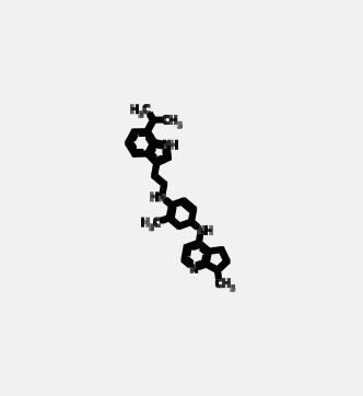 CC1=C(NCCc2c[nH]c3c(C(C)C)cccc23)C=CC(Nc2ccnc3c2CCC3C)C1